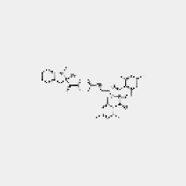 CCC(Cc1ccccc1)(C(=O)c1ccc(NCCOP(=O)(C(=O)c2c(C)cc(C)cc2C)C(=O)c2c(C)cc(C)cc2C)cc1)N(C)C